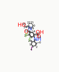 Cc1cc(I)ccc1Nc1c(C(=O)O)cc(C(=O)N2CCCCC2CO)c(F)c1F